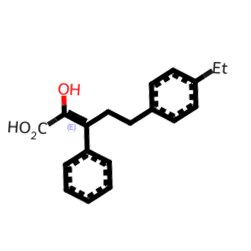 CCc1ccc(CC/C(=C(\O)C(=O)O)c2ccccc2)cc1